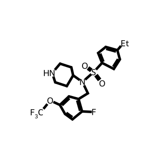 CCc1ccc(S(=O)(=O)N(Cc2cc(OC(F)(F)F)ccc2F)C2CCNCC2)cc1